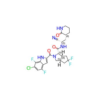 N#C[C@H](C[C@H]1CCCNC1=O)NC(=O)[C@@H]1[C@@H]2CC(F)(F)C[C@@H]2CN1C(=O)c1cc2c(F)cc(Cl)c(F)c2[nH]1